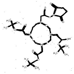 CC(C)(C)OC(=O)CN1CCN(CC(=O)ON2C(=O)CCC2=O)CCN(CC(O)OC(C)(C)C)CCN(CC(=O)OC(C)(C)C)CC1